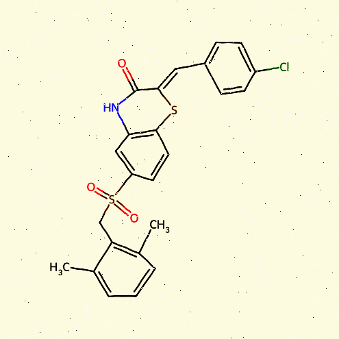 Cc1cccc(C)c1CS(=O)(=O)c1ccc2c(c1)NC(=O)C(=Cc1ccc(Cl)cc1)S2